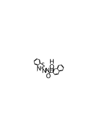 Cn1c(=NNC(=O)c2ccc3ccccc3c2O)sc2ccccc21